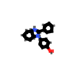 Oc1ccc(-n2c(-c3ccccc3)nc3ccccc32)cc1